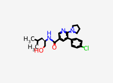 CC(C)C[C@H](CO)NC(=O)c1cnc(N2CCCC2)c(-c2ccc(Cl)cc2)c1